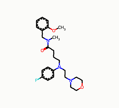 COc1ccccc1CN(C)C(=O)CCCN(CCN1CCOCC1)c1ccc(F)cc1